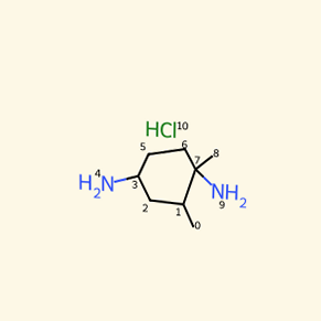 CC1CC(N)CCC1(C)N.Cl